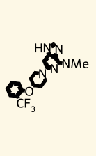 CNc1nc(N2CCC(Oc3ccccc3C(F)(F)F)CC2)cc2[nH]cnc12